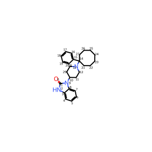 O=c1[nH]c2ccccc2n1C1CCN(C2(c3ccccc3)CCCCCCC2)CC1